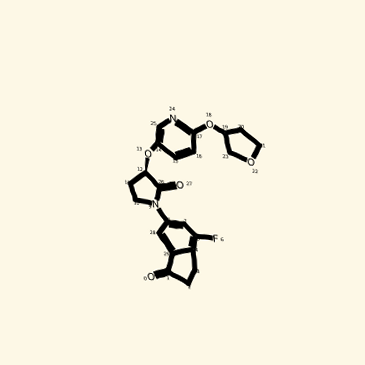 O=C1CCc2c(F)cc(N3CC[C@@H](Oc4ccc(OC5CCOC5)nc4)C3=O)cc21